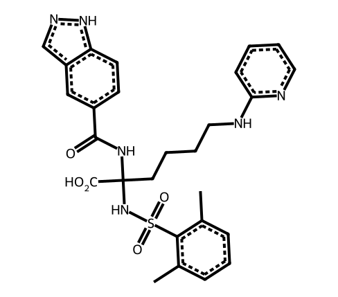 Cc1cccc(C)c1S(=O)(=O)NC(CCCCNc1ccccn1)(NC(=O)c1ccc2[nH]ncc2c1)C(=O)O